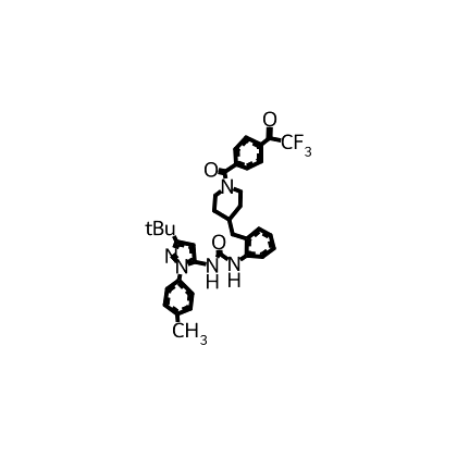 Cc1ccc(-n2nc(C(C)(C)C)cc2NC(=O)Nc2ccccc2CC2CCN(C(=O)c3ccc(C(=O)C(F)(F)F)cc3)CC2)cc1